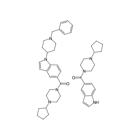 O=C(c1ccc2[nH]ccc2c1)N1CCN(C2CCCC2)CC1.O=C(c1ccc2c(ccn2C2CCN(Cc3ccccc3)CC2)c1)N1CCN(C2CCCC2)CC1